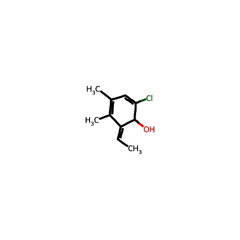 CC=C1C(C)=C(C)C=C(Cl)C1O